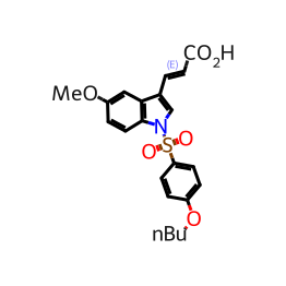 CCCCOc1ccc(S(=O)(=O)n2cc(/C=C/C(=O)O)c3cc(OC)ccc32)cc1